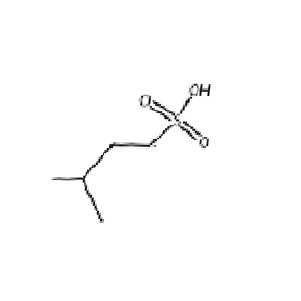 CC(C)C[CH]S(=O)(=O)O